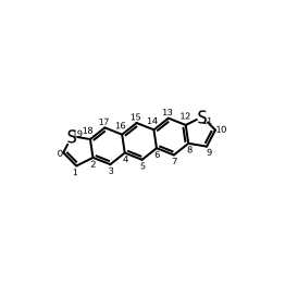 c1cc2cc3cc4cc5ccsc5cc4cc3cc2s1